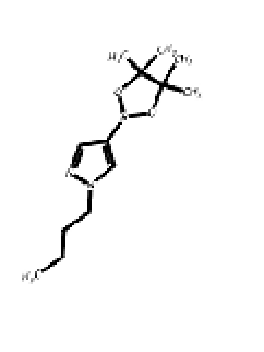 CCCCn1cc(B2OC(C)(C)C(C)(C)O2)cn1